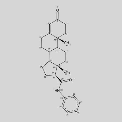 C[C@]12CCC(=O)C=C1CCC1C2CC[C@@]2(C)C1CC[C@@H]2C(=O)Nc1ccccc1